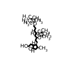 C[C@@H]1C[C@@H]2OC(O)C[C@@H]2[C@H]1CCC(CCCCCO[Si](C)(C)C(C)(C)C)O[Si](C)(C)C(C)(C)C